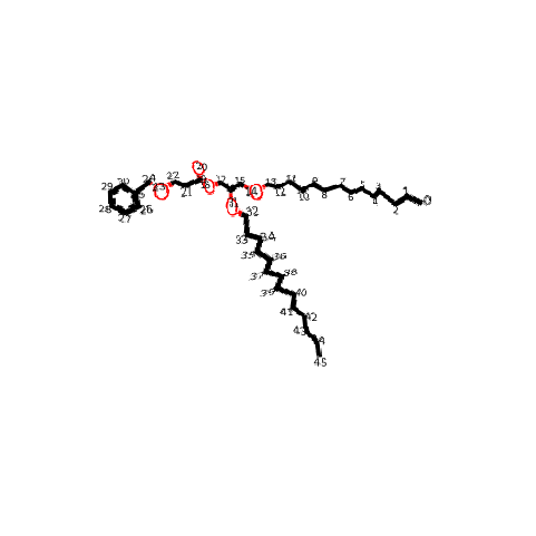 CCCCCCCCCCCCCCOCC(COC(=O)CCOCc1ccccc1)OCCCCCCCCCCCCCC